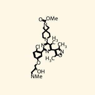 CNC[C@H](O)COc1ccc(Cl)c(-c2nc(-c3c(C)noc3C)c(C)c(N3CCC4(CC3)CN(C(=O)OC)C4)n2)c1